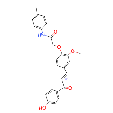 COc1cc(/C=C/C(=O)c2ccc(O)cc2)ccc1OCC(=O)Nc1ccc(C)cc1